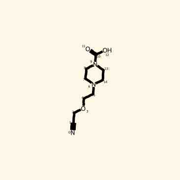 N#CCOCCN1CCN(C(=O)O)CC1